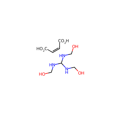 O=C(O)/C=C\C(=O)O.OCNC(NCO)NCO